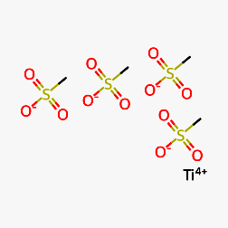 CS(=O)(=O)[O-].CS(=O)(=O)[O-].CS(=O)(=O)[O-].CS(=O)(=O)[O-].[Ti+4]